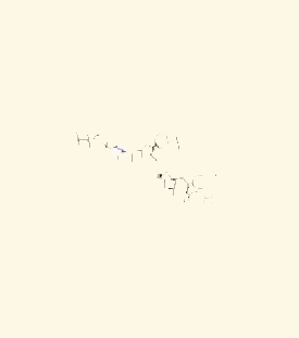 CCC(C)CCC[C@@H](C)CCC[C@@H](C)CCC/C(C)=C/CO